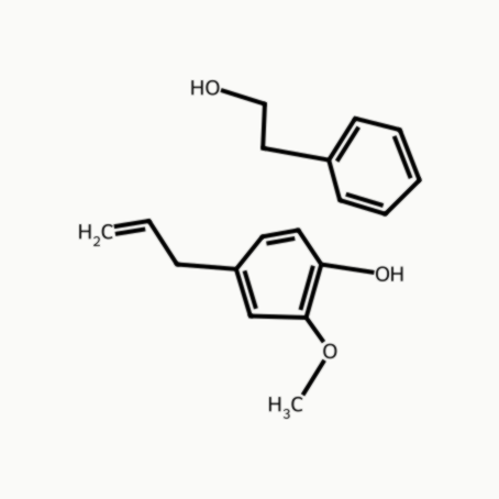 C=CCc1ccc(O)c(OC)c1.OCCc1ccccc1